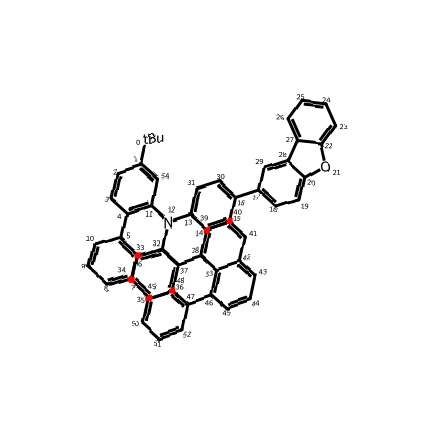 CC(C)(C)c1ccc(-c2ccccc2)c(N(c2ccc(-c3ccc4oc5ccccc5c4c3)cc2)c2ccccc2-c2cccc3cccc(-c4ccccc4)c23)c1